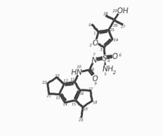 Cc1oc([S@](N)(=O)=NC(=O)Nc2c3c(cc4c2CCC4C)CCC3)cc1C(C)(C)O